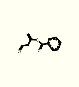 C=C(CC=O)OC(=O)c1ccccc1